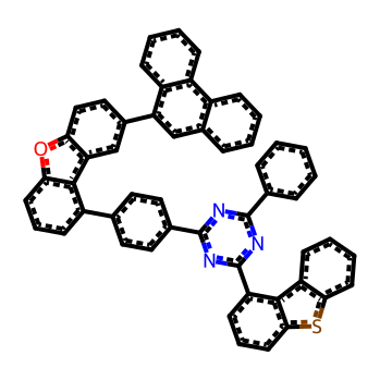 c1ccc(-c2nc(-c3ccc(-c4cccc5oc6ccc(-c7cc8ccccc8c8ccccc78)cc6c45)cc3)nc(-c3cccc4sc5ccccc5c34)n2)cc1